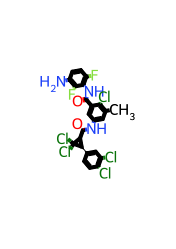 Cc1cc(NC(=O)C2[C@H](c3ccc(Cl)c(Cl)c3)C2(Cl)Cl)cc(C(=O)Nc2c(F)ccc(N)c2F)c1Cl